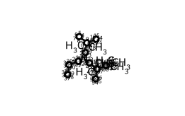 Cc1c(-c2ccccc2)cc(-c2ccccc2)c(C)c1-c1ccc(N(c2ccc(-c3cccc(-c4ccccc4)c3)cc2)c2ccc(-c3c(C)c(-c4ccccc4)cc(-c4ccc([Si](C)(C)C)cc4)c3C)cc2)cc1